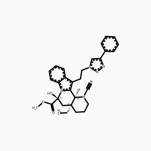 CC[C@@]12CCCN(C#N)[C@@H]1c1c(CCn3cc(-c4ccccc4)nn3)c3ccccc3n1[C@@](O)(C(=O)OC)C2